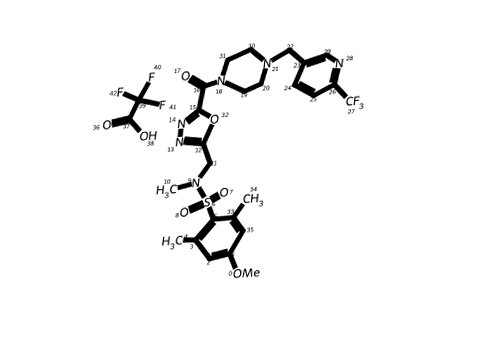 COc1cc(C)c(S(=O)(=O)N(C)Cc2nnc(C(=O)N3CCN(Cc4ccc(C(F)(F)F)nc4)CC3)o2)c(C)c1.O=C(O)C(F)(F)F